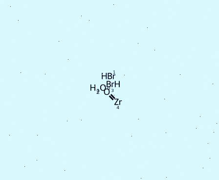 Br.Br.O.[O]=[Zr]